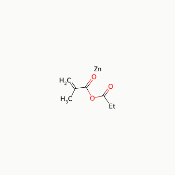 C=C(C)C(=O)OC(=O)CC.[Zn]